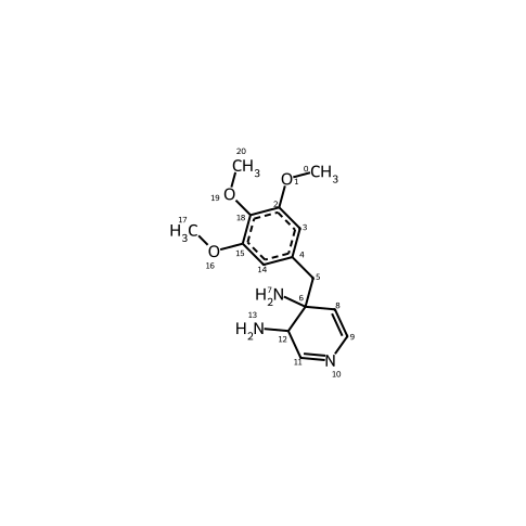 COc1cc(CC2(N)C=CN=CC2N)cc(OC)c1OC